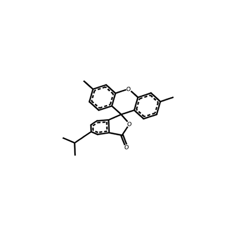 Cc1ccc2c(c1)Oc1cc(C)ccc1C21OC(=O)c2cc(C(C)C)ccc21